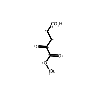 CC(C)(C)OC(=O)C(=O)CCC(=O)O